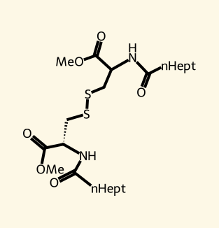 CCCCCCCC(=O)NC(CSSC[C@H](NC(=O)CCCCCCC)C(=O)OC)C(=O)OC